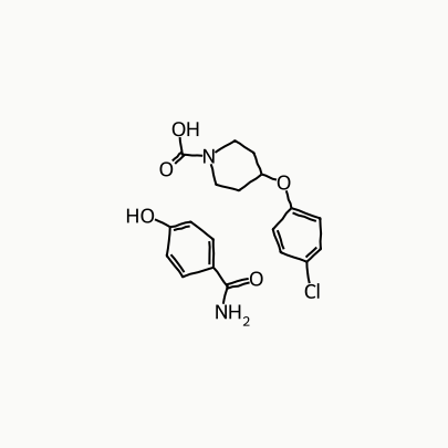 NC(=O)c1ccc(O)cc1.O=C(O)N1CCC(Oc2ccc(Cl)cc2)CC1